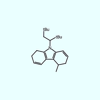 CC1CC=Cc2c1c1c(n2C(CC(C)(C)C)C(C)(C)C)CCC=C1